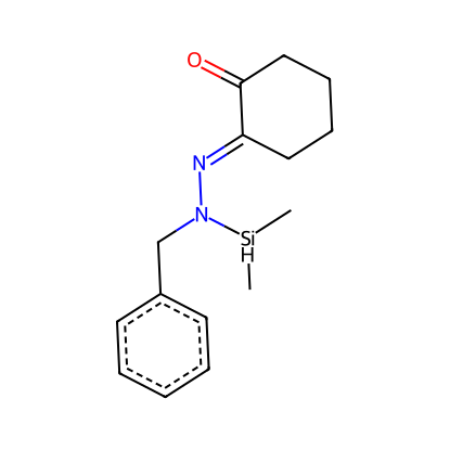 C[SiH](C)N(Cc1ccccc1)N=C1CCCCC1=O